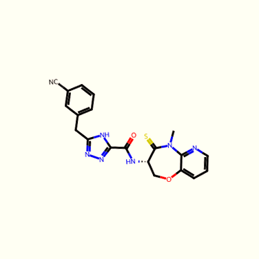 CN1C(=S)[C@@H](NC(=O)c2nnc(Cc3cccc(C#N)c3)[nH]2)COc2cccnc21